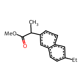 CCc1ccc2cc(C(C)C(=O)OC)ccc2c1